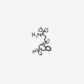 COC(=O)C(N)CCC(=O)N1CCN(C(=O)O)Cc2ccccc21